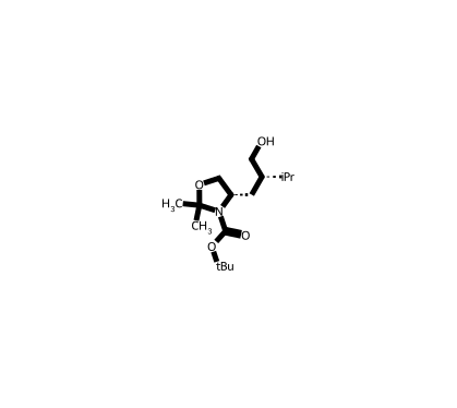 CC(C)[C@@H](CO)C[C@H]1COC(C)(C)N1C(=O)OC(C)(C)C